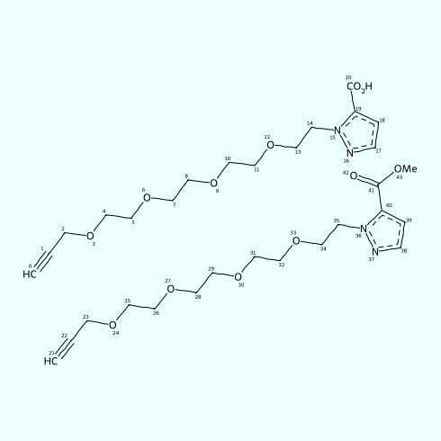 C#CCOCCOCCOCCOCCn1nccc1C(=O)O.C#CCOCCOCCOCCOCCn1nccc1C(=O)OC